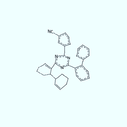 N#Cc1cccc(-c2nc(C3=CCCCC3C3C=CCCC3)nc(-c3ccccc3-c3ccccc3)n2)c1